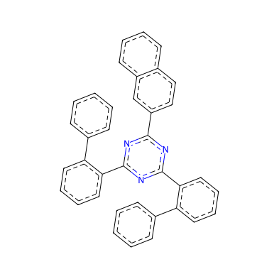 c1ccc(-c2ccccc2-c2nc(-c3ccc4ccccc4c3)nc(-c3ccccc3-c3ccccc3)n2)cc1